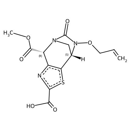 C=CCON1C(=O)N2C[C@H]1c1sc(C(=O)O)nc1[C@@H]2C(=O)OC